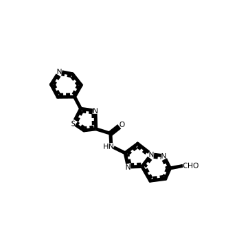 O=Cc1ccc2nc(NC(=O)c3csc(-c4ccncc4)n3)cn2n1